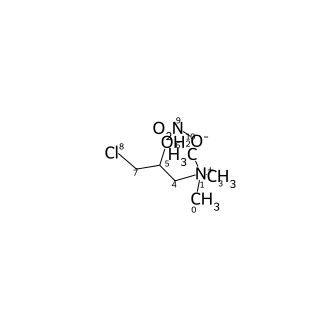 C[N+](C)(C)CC(O)CCl.O=[N+]([O-])[O-]